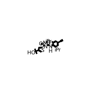 C#Cc1cc(C(C)C)c(NC(=O)N=S(N)(=O)c2cc(C(C)(C)O)cs2)c(C(C)C)c1